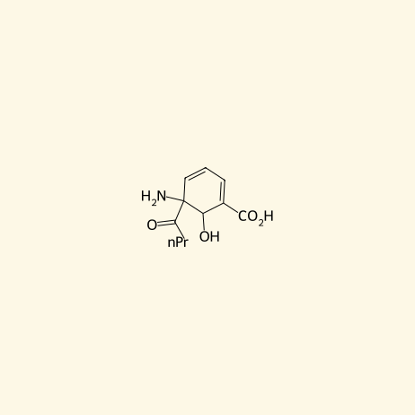 CCCC(=O)C1(N)C=CC=C(C(=O)O)C1O